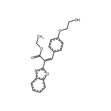 CCOC(=O)C(=Cc1ccc(OCCO)cc1)c1nc2ccccc2o1